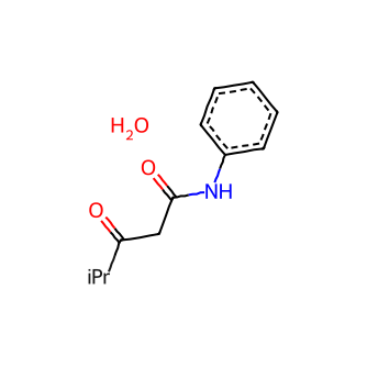 CC(C)C(=O)CC(=O)Nc1ccccc1.O